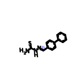 NC(=S)N/N=C/c1ccc(-c2ccccc2)cc1